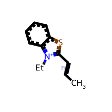 C/C=C/c1sc2ccccc2[n+]1CC